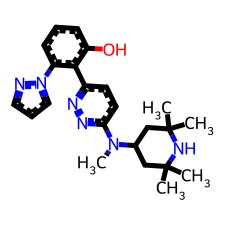 CN(c1ccc(-c2c(O)cccc2-n2cccn2)nn1)C1CC(C)(C)NC(C)(C)C1